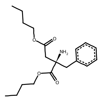 CCCCOC(=O)C[C@](N)(Cc1ccccc1)C(=O)OCCCC